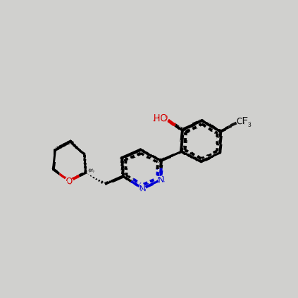 Oc1cc(C(F)(F)F)ccc1-c1ccc(C[C@H]2CCCCO2)nn1